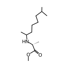 COC(=O)[C@@H](C)NC(C)CCCCC(C)C